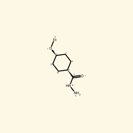 CCO[C@H]1CC[C@@H](C(=O)NN)CC1